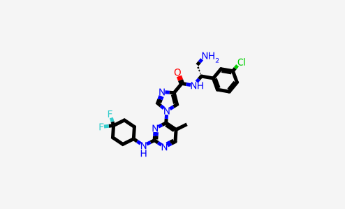 Cc1cnc(NC2CCC(F)(F)CC2)nc1-n1cnc(C(=O)N[C@H](CN)c2cccc(Cl)c2)c1